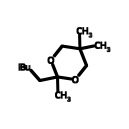 CCC(C)CC1(C)OCC(C)(C)CO1